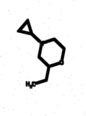 CCC1CN(C2CC2)CCO1